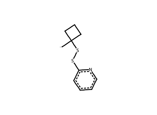 [CH2]C1(SSc2ccccn2)CCC1